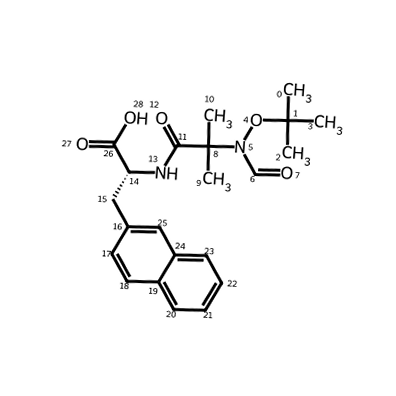 CC(C)(C)ON(C=O)C(C)(C)C(=O)N[C@H](Cc1ccc2ccccc2c1)C(=O)O